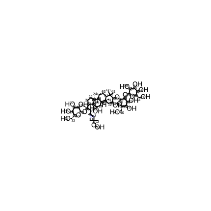 CC(C)(/C=C/C[C@](C)(O[C@@H]1O[C@H](CO)[C@@H](O)[C@H](O)[C@H]1O)[C@H]1CC[C@]2(C)[C@@H]1[C@H](O)C[C@@H]1[C@@]3(C)C[C@@H](O)[C@H](O[C@@H]4O[C@H](CO)[C@@H](O)[C@H](O)[C@H]4O[C@@H]4O[C@H](CO)[C@@H](O)[C@H](O)[C@H]4O)C(C)(C)C3CC[C@]12C)OO